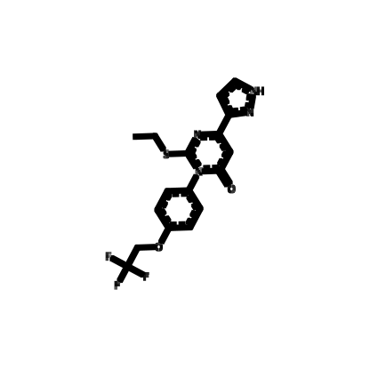 CCSc1nc(-c2cc[nH]n2)cc(=O)n1-c1ccc(OCC(F)(F)F)cc1